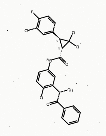 O=C(c1ccccc1)C(O)c1cc(NC(=O)[C@@H]2[C@@H](c3ccc(F)c(Cl)c3)C2(Cl)Cl)ccc1Cl